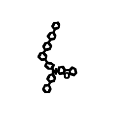 c1ccc(-c2ccc(-c3ccc(-c4cccc(-c5ccc(N(c6ccc(-c7ccccc7)cc6)c6ccc7c(c6)oc6ccccc67)cc5)c4)cc3)cc2)cc1